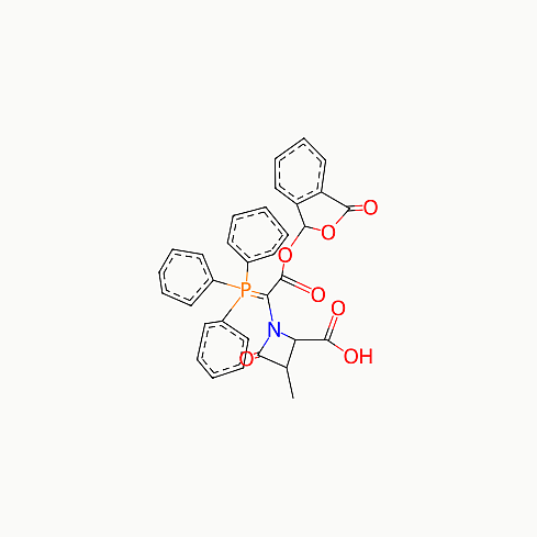 CC1C(=O)N(C(C(=O)OC2OC(=O)c3ccccc32)=P(c2ccccc2)(c2ccccc2)c2ccccc2)C1C(=O)O